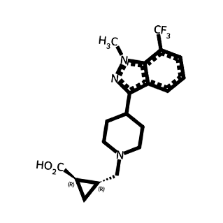 Cn1nc(C2CCN(C[C@@H]3C[C@H]3C(=O)O)CC2)c2cccc(C(F)(F)F)c21